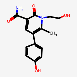 Cc1c(-c2ccc(O)cc2)cc(C(N)=O)c(=O)n1CCO